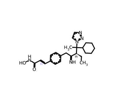 CC[C@@H](C(=N)Cc1ccc(/C=C/C(=O)NO)cc1)C(C)(C1CCCCC1)n1ccnn1